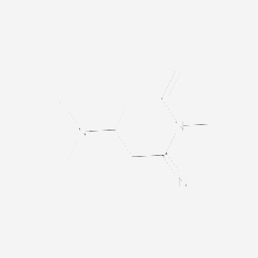 C=CN(C)C(=N)CC(Br)N(C)CCC